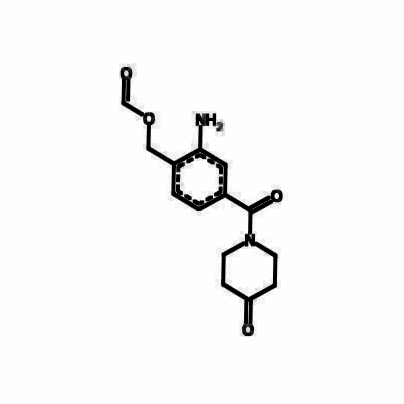 Nc1cc(C(=O)N2CCC(=O)CC2)ccc1COC=O